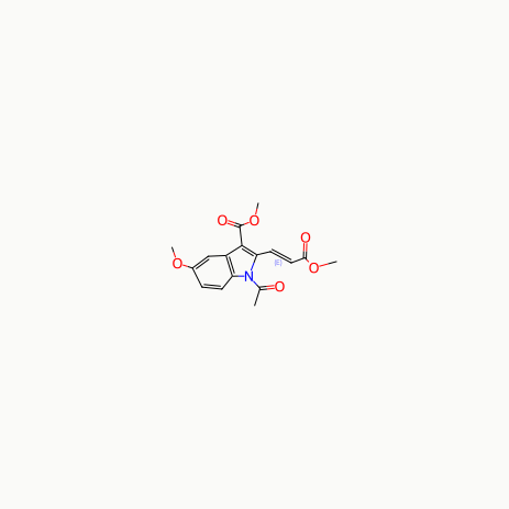 COC(=O)/C=C/c1c(C(=O)OC)c2cc(OC)ccc2n1C(C)=O